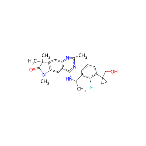 Cc1nc(NC(C)c2cccc(C3(CO)CC3)c2F)c2cc3c(cc2n1)C(C)(C)C(=O)N3C